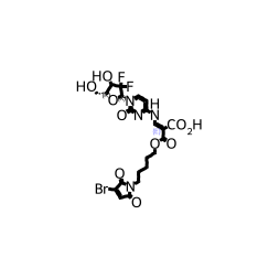 O=C(O)/C(=C\Nc1ccn([C@@H]2O[C@H](CO)C(O)C2(F)F)c(=O)n1)C(=O)OCCCCCN1C(=O)C=C(Br)C1=O